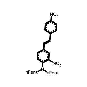 CCCCCN(CCCCC)c1ccc(C=Cc2ccc([N+](=O)[O-])cc2)cc1[N+](=O)[O-]